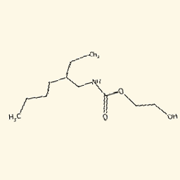 CCCCC(CC)CNC(=O)OCCO